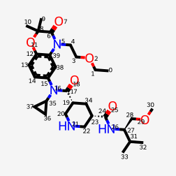 CCOCCN1C(=O)C(C)(C)Oc2ccc(N(C(=O)[C@H]3CNC[C@@H](C(=O)N[C@@H](COC)C(C)C)C3)C3CC3)cc21